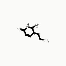 CCCC1C=CC(=O)NC1O